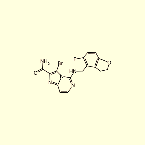 NC(=O)c1nc2ccnc(NCc3c(F)ccc4c3CCO4)n2c1Br